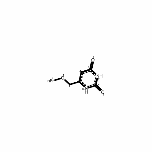 CCCOCc1cc(=O)[nH]c(=O)[nH]1